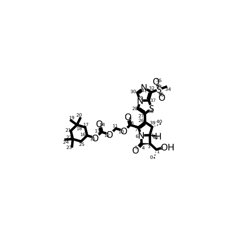 C[C@@H](O)[C@H]1C(=O)N2C(C(=O)OCOC(=O)OC3CC(C)(C)CC(C)(C)C3)=C(c3cn4cnc(S(C)(=O)=O)c4s3)[C@H](C)[C@H]12